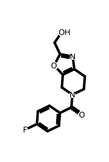 O=C(c1ccc(F)cc1)N1CCc2nc(CO)oc2C1